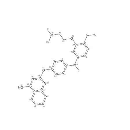 CCc1ccc(N(C)c2ccc(Oc3nc(O)c4ccncc4n3)cc2)cc1OCCN(C)C